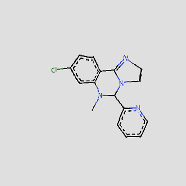 CN1c2cc(Cl)ccc2C2=NCCN2C1c1ccccn1